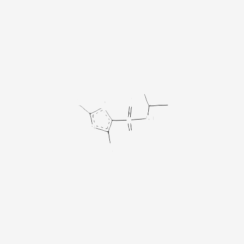 CC(C)NS(=O)(=O)c1sc(Cl)nc1Cl